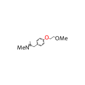 CN[C@H](C)Cc1ccc(OCCOC)cc1